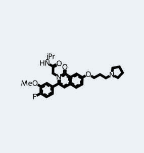 COc1cc(-c2cc3ccc(OCCCN4CCCC4)cc3c(=O)n2CC(=O)NC(C)C)ccc1F